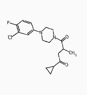 CC(CC(=O)C1CC1)C(=O)N1CCN(c2ccc(F)c(Cl)c2)CC1